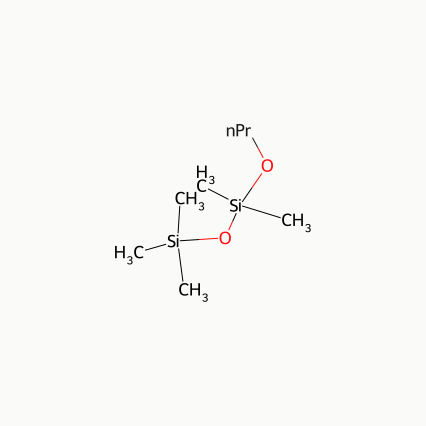 [CH2]CCO[Si](C)(C)O[Si](C)(C)C